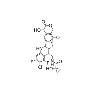 O=C1OCc2c(cc3n(c2=O)CC2=C(CNC(=O)C4(O)CC4)c4c(cc(F)c(Cl)c4F)NC23)C1O